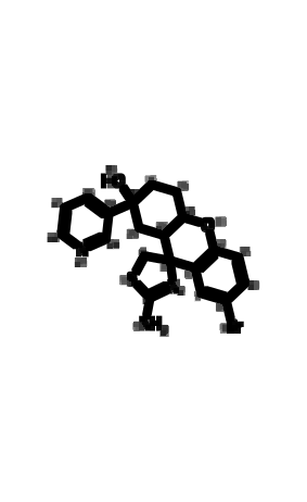 NC1=NC2(CS1)c1cc(Br)ccc1OC1CCC(O)(c3cccnc3)CC12